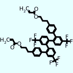 C=CC(=O)OCCCc1ccc(-c2cc(C(F)(F)F)ccc2-c2ccc(C(F)(F)F)cc2-c2ccc(C(F)(F)F)cc2-c2ccc(CCCOC(=O)C=C)cc2)cc1